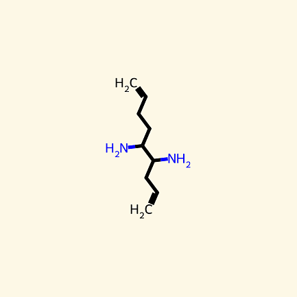 C=CCCC(N)C(N)CC=C